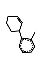 Fc1ccccc1C1C=CCCC1